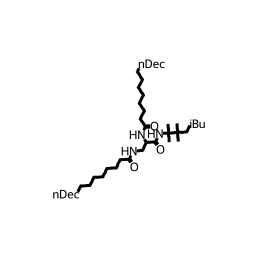 CCCCCCCCCCCCCCCCCC(=O)NCC(NC(=O)CCCCCCCCCCCCCCCCC)C(=O)NC(C)(C)C(C)(C)CC(C)CC